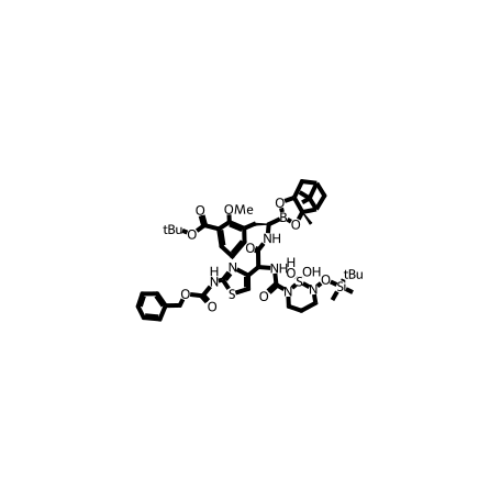 COc1c(C[C@H](NC(=O)C(NC(=O)N2CCCN(O[Si](C)(C)C(C)(C)C)S2(O)O)c2csc(NC(=O)OCc3ccccc3)n2)B2OC3CC4CC(C4(C)C)[C@]3(C)O2)cccc1C(=O)OC(C)(C)C